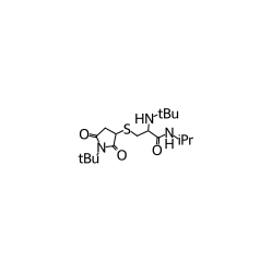 CC(C)NC(=O)C(CSC1CC(=O)N(C(C)(C)C)C1=O)NC(C)(C)C